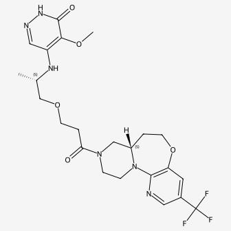 COc1c(N[C@@H](C)COCCC(=O)N2CCN3c4ncc(C(F)(F)F)cc4OCC[C@H]3C2)cn[nH]c1=O